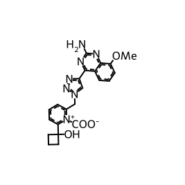 COc1cccc2c(-c3cn(Cc4cccc(C5(O)CCC5)[n+]4C(=O)[O-])nn3)nc(N)nc12